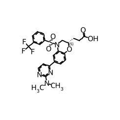 CN(C)c1nccc(-c2ccc3c(c2)N(S(=O)(=O)c2cccc(C(F)(F)F)c2)C[C@H](CCC(=O)O)O3)n1